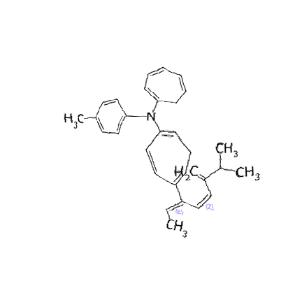 C=C(/C=C\C(=C/C)C1=CCC=C(N(C2=CC=CC=CC2)c2ccc(C)cc2)C=C1)C(C)C